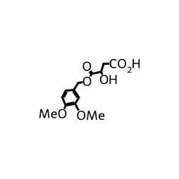 COc1ccc(COC(=O)C(O)CC(=O)O)cc1OC